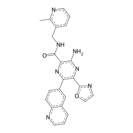 Cc1ncccc1CNC(=O)c1nc(-c2ccc3ncccc3c2)c(-c2ncco2)nc1N